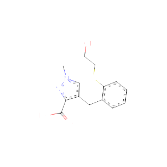 Cn1cc(Cc2ccccc2SCCO)c(C(=O)O)n1